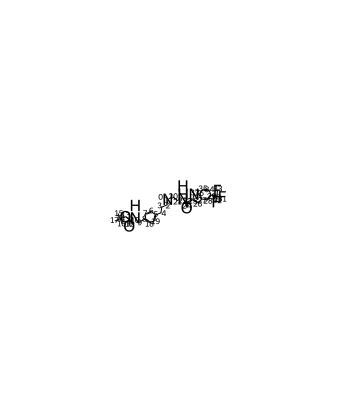 CN(CCCc1ccc(CNC(=O)OC(C)(C)C)cc1)CCNC(=O)c1cc2cc(C(F)(F)F)ccc2[nH]1